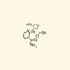 NC(=O)c1cccnc1.OC(Cl)[C@H]1OC[C@H](O)[C@@H]1O